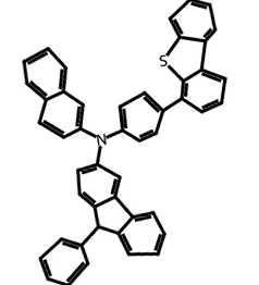 c1ccc(C2c3ccccc3-c3cc(N(c4ccc(-c5cccc6c5sc5ccccc56)cc4)c4ccc5ccccc5c4)ccc32)cc1